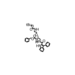 CC(C)(C)OC(=O)NCCOC[C@@H](CNC(=O)c1[nH]c2ccccc2c1-c1ccccc1)NC(=O)OCc1ccccc1